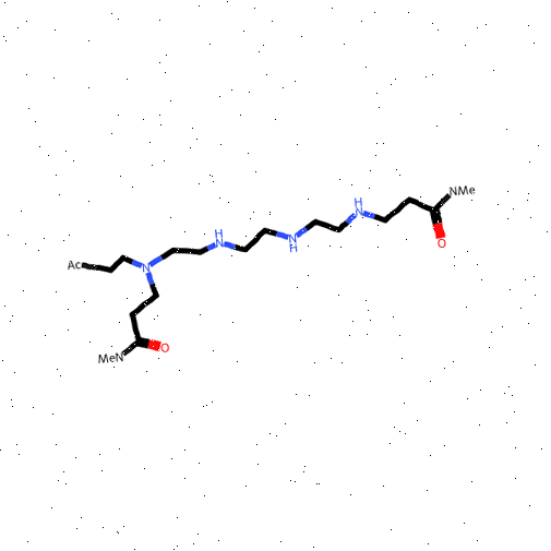 CNC(=O)CCNCCNCCNCCN(CCC(C)=O)CCC(=O)NC